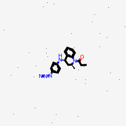 CCC(=O)N1c2ccccc2[C@H](Nc2ccc(N=[N+]=[N-])cc2)C[C@@H]1C